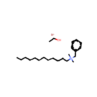 CCCCCCCCCCCC[N+](C)(C)Cc1ccccc1.CCO.[Br-]